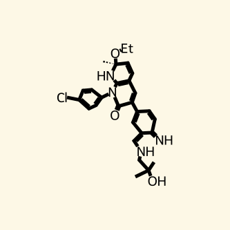 CCO[C@@]1(C)C=Cc2cc(C3=C/C(=C/NCC(C)(C)O)C(=N)C=C3)c(=O)n(-c3ccc(Cl)cc3)c2N1